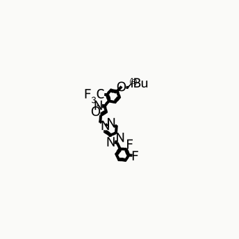 CC[C@H](C)COc1ccc(-c2cc(Cn3cc4nc(-c5cccc(F)c5F)nc-4cn3)on2)c(C(F)(F)F)c1